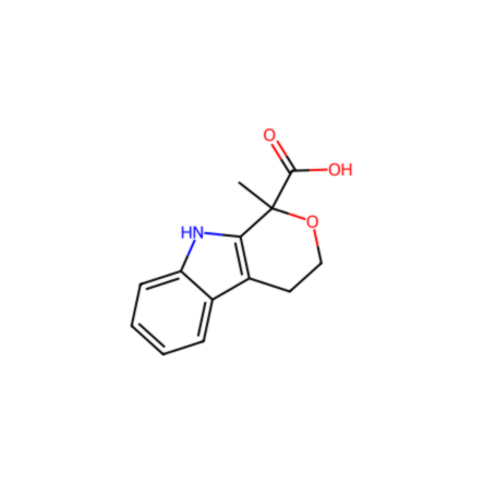 CC1(C(=O)O)OCCc2c1[nH]c1ccccc21